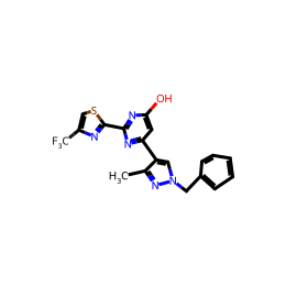 Cc1nn(Cc2ccccc2)cc1-c1cc(O)nc(-c2nc(C(F)(F)F)cs2)n1